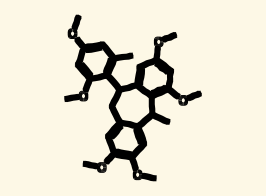 COc1cc(C)c(C2Cc3cc(OC)c(OC)cc3C(C)c3c(OC)cc(OC)cc32)c(OC)c1